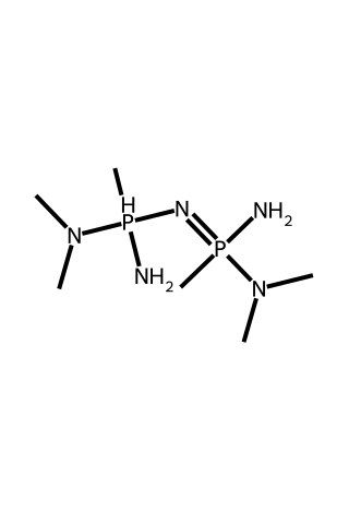 CN(C)P(C)(N)=N[PH](C)(N)N(C)C